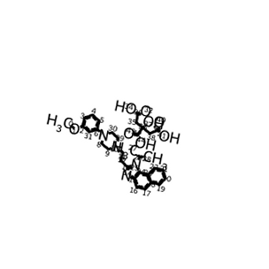 COc1cccc(N2CCN(CCc3nc4ccc5ccccc5c4n3C(C)C)CC2)c1.O=C(O)CC(O)(CC(=O)O)C(=O)O